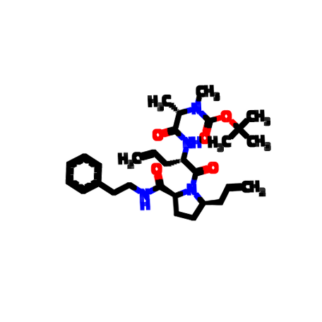 C=CC[C@H]1CC[C@@H](C(=O)NCCc2ccccc2)N1C(=O)[C@H](CC=C)NC(=O)[C@H](C)N(C)C(=O)OC(C)(C)C